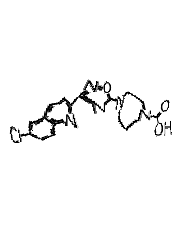 O=C(O)N1CCN(c2nc(-c3ccc4cc(Cl)ccc4n3)no2)CC1